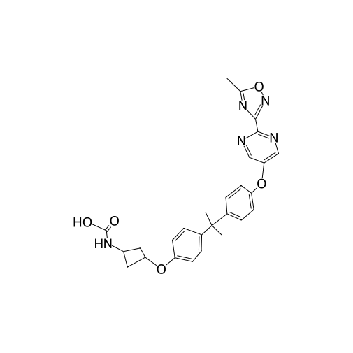 Cc1nc(-c2ncc(Oc3ccc(C(C)(C)c4ccc(OC5CC(NC(=O)O)C5)cc4)cc3)cn2)no1